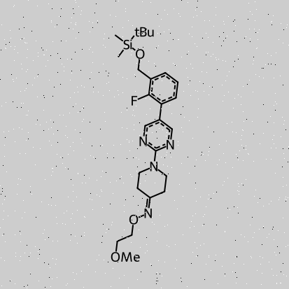 COCCON=C1CCN(c2ncc(-c3cccc(CO[Si](C)(C)C(C)(C)C)c3F)cn2)CC1